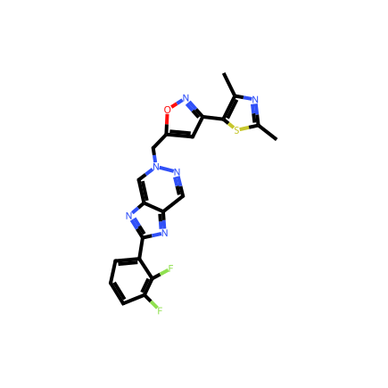 Cc1nc(C)c(-c2cc(Cn3cc4nc(-c5cccc(F)c5F)nc-4cn3)on2)s1